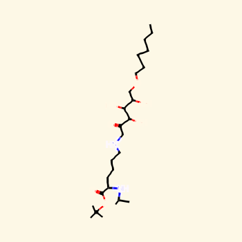 CCCCCCCOCC(O)C(O)C(O)C(=O)CNCCCCC(NC(C)C)C(=O)OC(C)(C)C